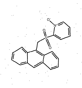 O=S(=O)(Cc1c2ccccc2cc2ccccc12)c1cccc[n+]1[O-]